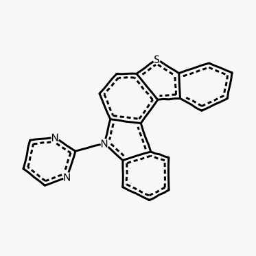 c1cnc(-n2c3ccccc3c3c4c(ccc32)sc2ccccc24)nc1